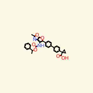 Cc1nc2c(NC(=O)OC(C)c3ccccc3)c(-c3ccc(-c4ccc(C5(C(=O)O)CC5)cc4)cc3)oc2o1